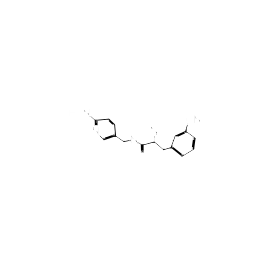 N#Cc1cccc(C[C@H](N)C(=O)NCc2ccc(N)nc2)c1